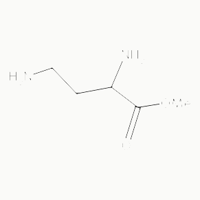 COC(=O)C(N)CCN